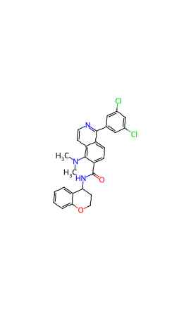 CN(C)c1c(C(=O)NC2CCOc3ccccc32)ccc2c(-c3cc(Cl)cc(Cl)c3)nccc12